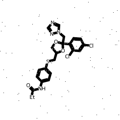 CCC(=O)Nc1ccc(SCC2COC(Cn3cncn3)(c3ccc(Cl)cc3Cl)O2)cc1